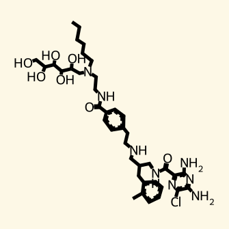 CCCCCCN(CCNC(=O)c1ccc(CCNCC(CNC(=O)c2nc(Cl)c(N)nc2N)Cc2ccccc2C)cc1)CC(O)C(O)C(O)C(O)CO